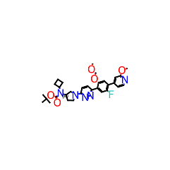 COCOc1cc(-c2ccnc(OC)c2)c(F)cc1-c1ccc(N2CC[C@@H](N(C(=O)OC(C)(C)C)C3CCC3)C2)nn1